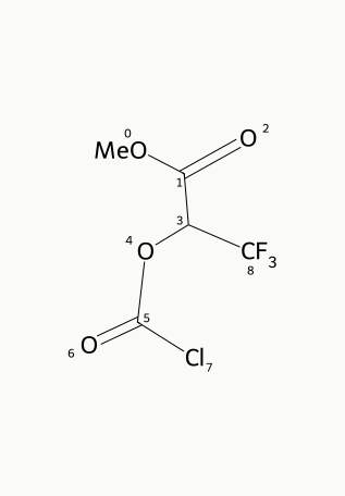 COC(=O)C(OC(=O)Cl)C(F)(F)F